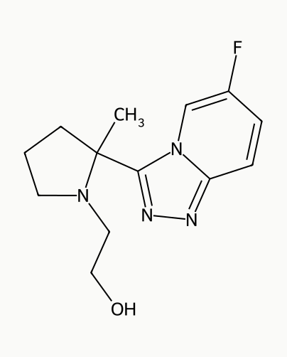 CC1(c2nnc3ccc(F)cn23)CCCN1CCO